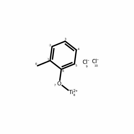 Cc1ccccc1[O][Ti+2].[Cl-].[Cl-]